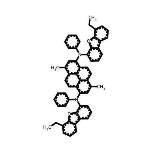 CCc1cccc2c1oc1c(N(c3ccccc3)c3cc(C)c4ccc5c(N(c6ccccc6)c6cccc7c6oc6c(CC)cccc67)cc(C)c6ccc3c4c65)cccc12